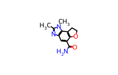 Cc1nc2cc(C(N)=O)c3c(c2n1C)CCO3